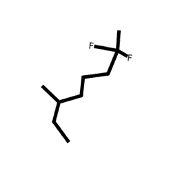 CCC(C)CCCC(C)(F)F